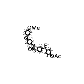 CCC(c1ccc(OC(C)=O)cc1)c1ccc(OC(=O)Oc2ccc(Oc3ccc(OC)cc3)cc2)cc1